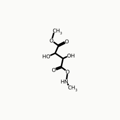 CNOC(=O)C(O)C(O)C(=O)OC